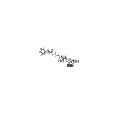 O=C(CCCCCNC(O)COCC(CO)(CO)CO)OCc1ccccc1